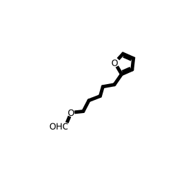 O=COCCCCCc1ccco1